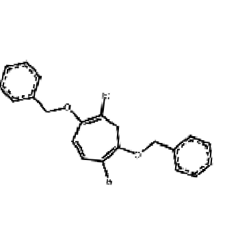 CCC1=C(OCc2ccccc2)C=CC(Br)=C(OCc2ccccc2)C1